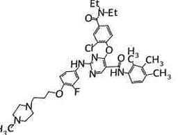 CCN(CC)C(=O)c1ccc(Oc2nc(Nc3ccc(OCCCN4CCN(C)CC4)c(F)c3)ncc2C(=O)Nc2ccc(C)c(C)c2C)c(Cl)c1